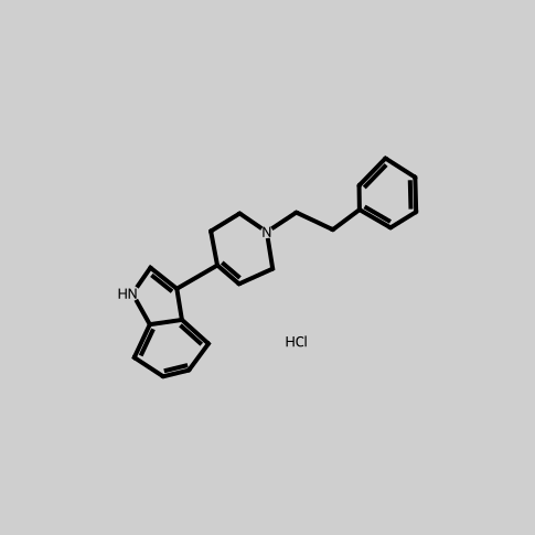 C1=C(c2c[nH]c3ccccc23)CCN(CCc2ccccc2)C1.Cl